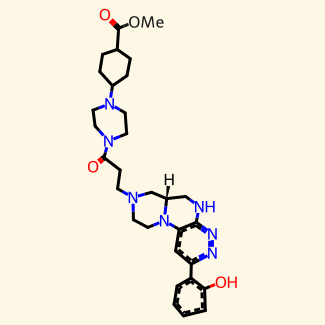 COC(=O)C1CCC(N2CCN(C(=O)CCN3CCN4c5cc(-c6ccccc6O)nnc5NC[C@H]4C3)CC2)CC1